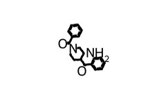 Nc1ccccc1C(=O)C1CCN(C(=O)c2ccccc2)CC1